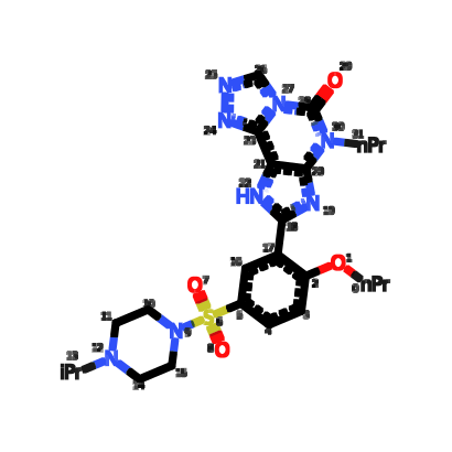 CCCOc1ccc(S(=O)(=O)N2CCN(C(C)C)CC2)cc1-c1nc2c([nH]1)c1nncn1c(=O)n2CCC